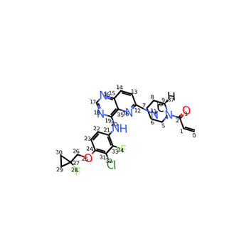 C=CC(=O)N1CC2CC[C@H]1CN2c1ccc2ncnc(Nc3ccc(OCC4(F)CC4)c(Cl)c3F)c2n1